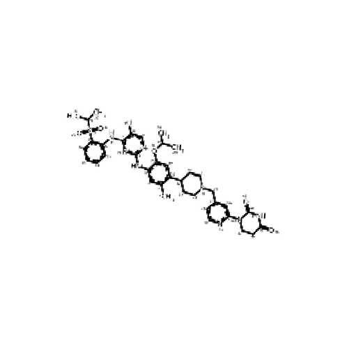 Cc1cc(Nc2ncc(Cl)c(Nc3ccccc3S(=O)(=O)C(C)C)n2)c(OC(C)C)cc1C1CCN(Cc2ccnc(N3CCC(=O)NC3=O)c2)CC1